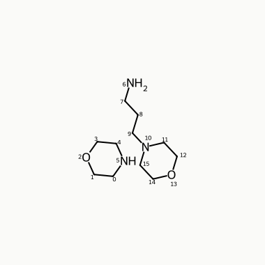 C1COCCN1.NCCCN1CCOCC1